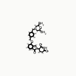 BC1CN(Cc2ccc(COc3cccc4c3CN(C3CCC(=O)NC3=O)C4=O)cc2)CC(B)O1